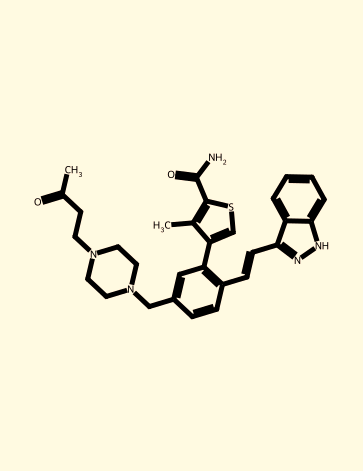 CC(=O)CCN1CCN(Cc2ccc(C=Cc3n[nH]c4ccccc34)c(-c3csc(C(N)=O)c3C)c2)CC1